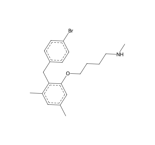 CNCCCCOc1cc(C)cc(C)c1Cc1ccc(Br)cc1